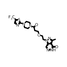 Cc1nn(CCOCCC(=O)N2CCN(c3ncc(C(F)(F)F)s3)CC2)c2cn[nH]c(=O)c12